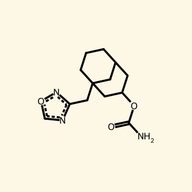 NC(=O)OC1CC2CCCC(Cc3ncon3)(C2)C1